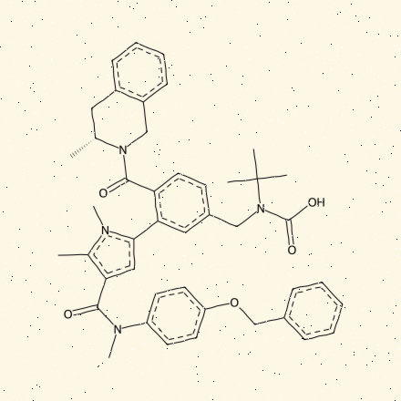 Cc1c(C(=O)N(C)c2ccc(OCc3ccccc3)cc2)cc(-c2cc(CN(C(=O)O)C(C)(C)C)ccc2C(=O)N2Cc3ccccc3C[C@H]2C)n1C